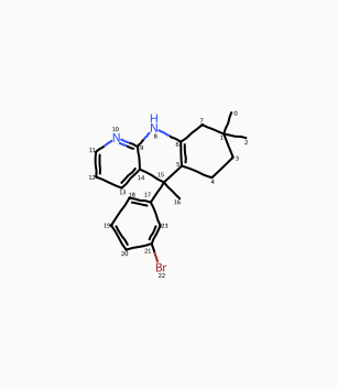 CC1(C)CCC2=C(C1)Nc1ncccc1C2(C)c1cccc(Br)c1